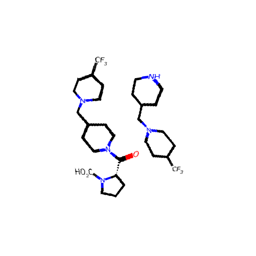 FC(F)(F)C1CCN(CC2CCNCC2)CC1.O=C([C@@H]1CCCN1C(=O)O)N1CCC(CN2CCC(C(F)(F)F)CC2)CC1